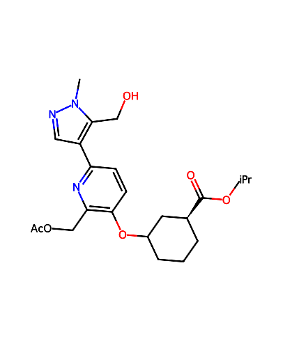 CC(=O)OCc1nc(-c2cnn(C)c2CO)ccc1OC1CCC[C@H](C(=O)OC(C)C)C1